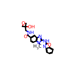 Cn1c(Nc2nc3ccccc3o2)nc2cc(C(=O)NCC3(O)COC3)ccc21